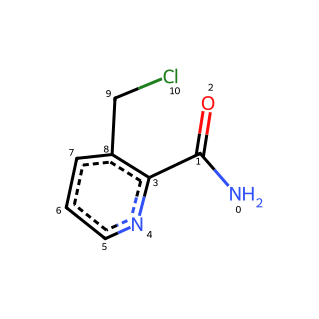 NC(=O)c1ncccc1CCl